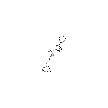 O=C(NCCCc1cccnc1)c1cc(-c2ccccc2)on1